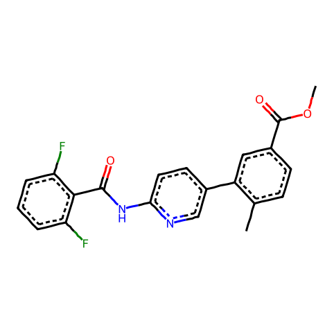 COC(=O)c1ccc(C)c(-c2ccc(NC(=O)c3c(F)cccc3F)nc2)c1